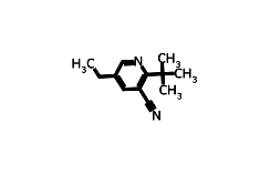 CCc1cnc(C(C)(C)C)c(C#N)c1